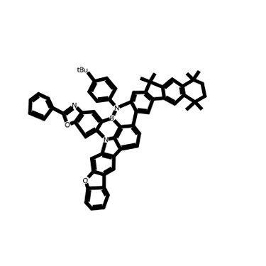 CC(C)(C)c1ccc(N2B3c4cc5nc(-c6ccccc6)oc5cc4-n4c5cc6oc7ccccc7c6cc5c5ccc(c3c54)-c3cc4c(cc32)C(C)(C)c2cc3c(cc2-4)C(C)(C)CCC3(C)C)cc1